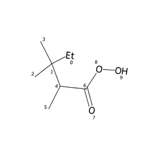 CCC(C)(C)C(C)C(=O)OO